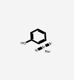 Oc1ccccc1.[N-]=[N+]=[N-].[Na+]